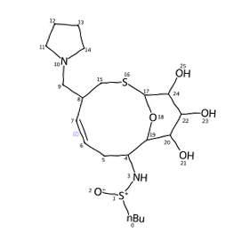 CCCC[S+]([O-])NC1C/C=C\C(CN2CCCC2)CSC2OC1C(O)C(O)C2O